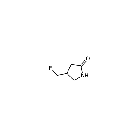 O=C1CC(CF)CN1